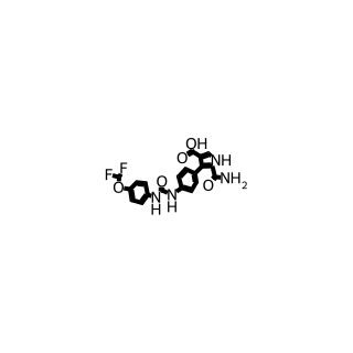 NC(=O)c1[nH]cc(C(=O)O)c1-c1ccc(NC(=O)Nc2ccc(OC(F)F)cc2)cc1